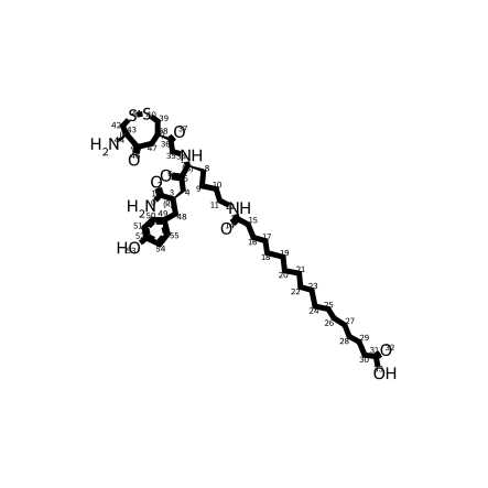 NC(=O)[C@@H](CC(=O)[C@H](CCCCNC(=O)CCCCCCCCCCCCCCCCC(=O)O)NCC(=O)[C@@H]1CSSC[C@H](N)C(=O)C1)Cc1ccc(O)cc1